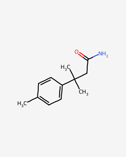 Cc1ccc(C(C)(C)CC(N)=O)cc1